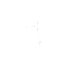 O=CCC[PH](=O)O